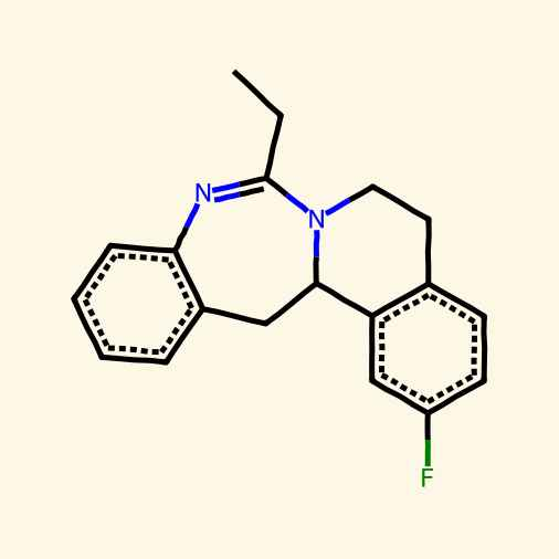 CCC1=Nc2ccccc2CC2c3cc(F)ccc3CCN12